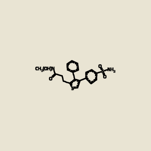 CN(O)C(=O)CCc1scc(-c2ccc(S(N)(=O)=O)cc2)c1-c1ccccc1